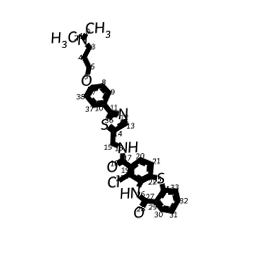 CN(C)CCCOc1ccc(-c2ncc(CNC(=O)c3ccc4c(c3Cl)NC(=O)c3ccccc3S4)s2)cc1